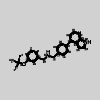 FC(F)(F)Oc1cccc(CNCc2ccc(-c3ccnc4[nH]ccc34)cc2)c1